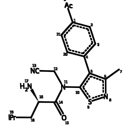 CC(=O)c1ccc(-c2c(C)nsc2N(CC#N)C(=O)[C@@H](N)CC(C)C)cc1